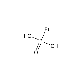 CCP(=O)(O)O